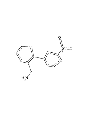 NCc1c[c]ccc1-c1cccc([SH](=O)=O)c1